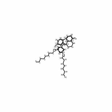 CCCCCCCCOc1cc(CC23CCCc4c(C)ccc(c42)-c2ccc(C)cc23)cc(OCCCCCCCC)c1